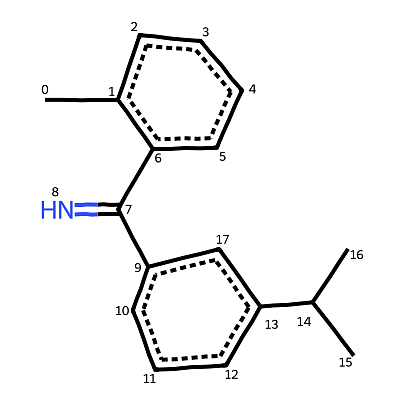 Cc1ccccc1C(=N)c1cccc(C(C)C)c1